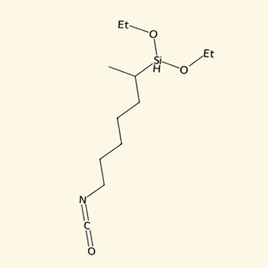 CCO[SiH](OCC)C(C)CCCCCN=C=O